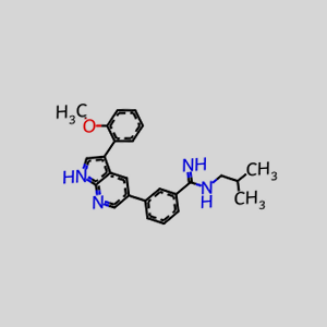 COc1ccccc1-c1c[nH]c2ncc(-c3cccc(C(=N)NCC(C)C)c3)cc12